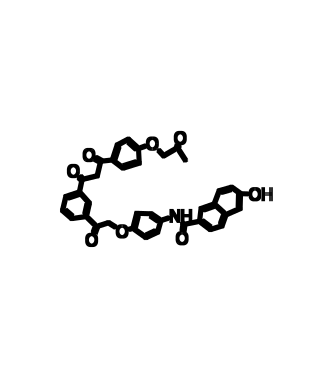 CC(=O)COc1ccc(C(=O)CC(=O)c2cccc(C(=O)COc3ccc(NC(=O)c4ccc5cc(O)ccc5c4)cc3)c2)cc1